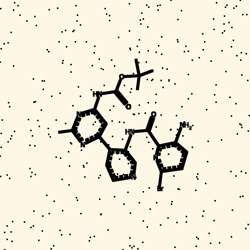 Cc1nc(NC(=O)OC(C)(C)C)cc(-c2ccncc2NC(=O)c2nc(Br)ccc2N)n1